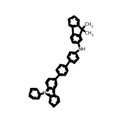 CC1(C)c2ccccc2-c2ccc(Nc3ccc(-c4ccc(-c5ccc6c(c5)c5ccccc5n6-c5ccccc5)cc4)cc3)cc21